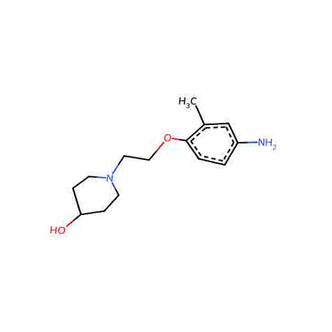 Cc1cc(N)ccc1OCCN1CCC(O)CC1